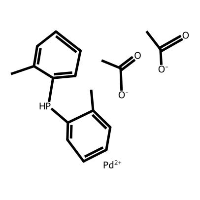 CC(=O)[O-].CC(=O)[O-].Cc1ccccc1Pc1ccccc1C.[Pd+2]